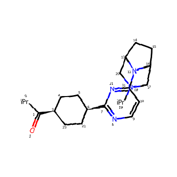 CC(C)C(=O)[C@H]1CC[C@@H](c2nccc(N3C4CCC3CN(C(C)C)C4)n2)CC1